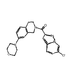 O=C(c1cc2ccc(Cl)cn2n1)N1CCc2ccc(N3CCOCC3)cc2C1